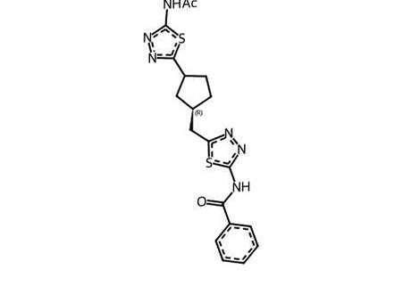 CC(=O)Nc1nnc(C2CC[C@@H](Cc3nnc(NC(=O)c4ccccc4)s3)C2)s1